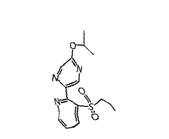 CCS(=O)(=O)c1cccnc1-c1cnc(OC(C)C)cn1